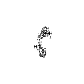 CN(C)C(=O)c1ccc(NCCCCC2CCN(C(=O)[C@@](O)(c3ccccc3)C(F)(F)F)CC2)cc1Cl